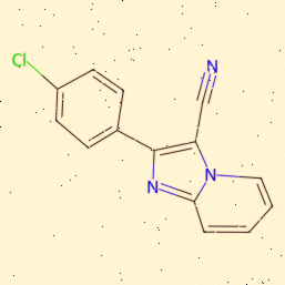 N#Cc1c(-c2ccc(Cl)cc2)nc2ccccn12